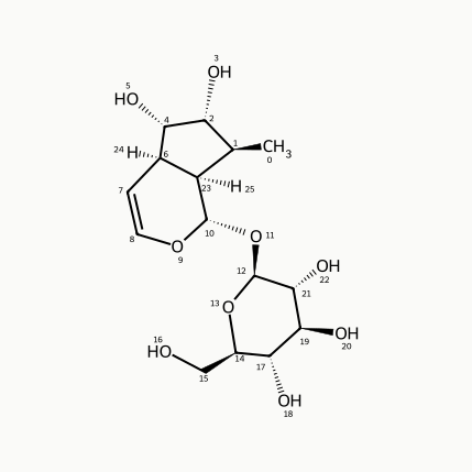 C[C@@H]1[C@@H](O)[C@@H](O)[C@@H]2C=CO[C@@H](O[C@@H]3O[C@H](CO)[C@@H](O)[C@H](O)[C@H]3O)[C@H]12